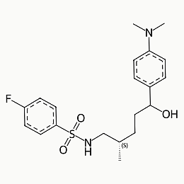 C[C@@H](CCC(O)c1ccc(N(C)C)cc1)CNS(=O)(=O)c1ccc(F)cc1